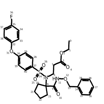 CCOC(=O)CCN(C1(C(=O)NOCc2ccccc2)CCCC1)S(=O)(=O)c1ccc(Oc2ccc(F)cc2)cc1